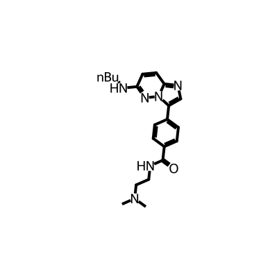 CCCCNc1ccc2ncc(-c3ccc(C(=O)NCCN(C)C)cc3)n2n1